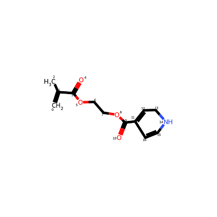 C=C(C)C(=O)OCCOC(=O)C1=CCNC=C1